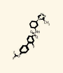 Cc1nncn1[C@@H]1CCC[C@H](NS(=O)(=O)c2ccc(-c3ccc(OC(F)F)cc3)c(F)c2)C1